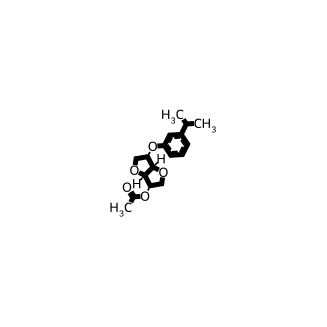 CC(=O)O[C@H]1CO[C@H]2[C@@H]1OC[C@@H]2Oc1cccc(C(C)C)c1